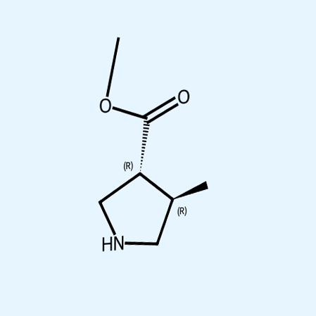 COC(=O)[C@H]1CNC[C@@H]1C